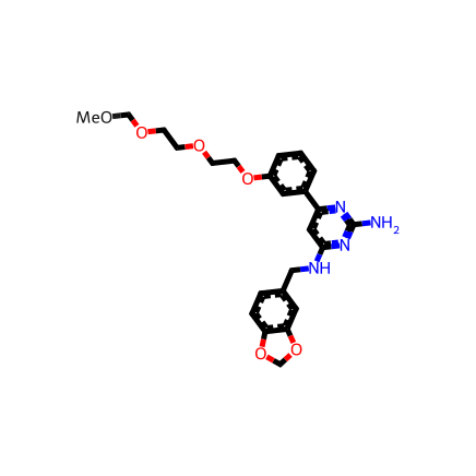 COCOCCOCCOc1cccc(-c2cc(NCc3ccc4c(c3)OCO4)nc(N)n2)c1